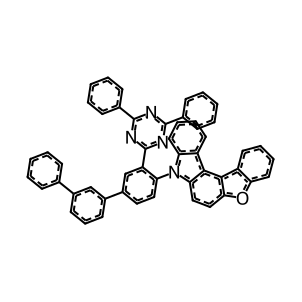 c1ccc(-c2cccc(-c3ccc(-n4c5ccccc5c5c6c(ccc54)oc4ccccc46)c(-c4nc(-c5ccccc5)nc(-c5ccccc5)n4)c3)c2)cc1